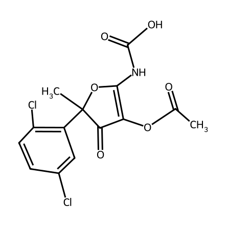 CC(=O)OC1=C(NC(=O)O)OC(C)(c2cc(Cl)ccc2Cl)C1=O